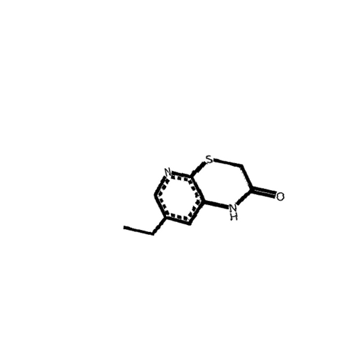 CCc1cnc2c(c1)NC(=O)CS2